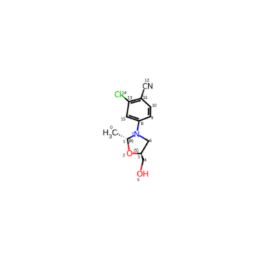 C[C@H]1O[C@H](CO)CN1c1ccc(C#N)c(Cl)c1